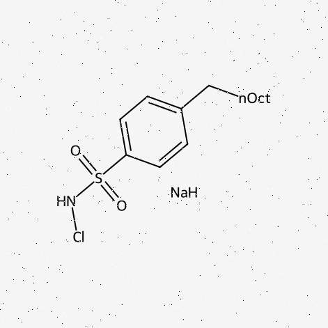 CCCCCCCCCc1ccc(S(=O)(=O)NCl)cc1.[NaH]